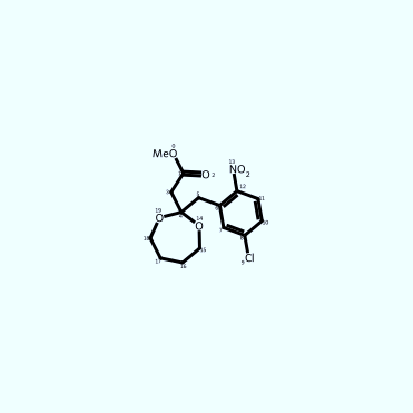 COC(=O)CC1(Cc2cc(Cl)ccc2[N+](=O)[O-])OCCCCO1